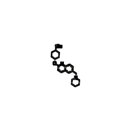 CC(C)(C)[C@H]1CC[C@H](Oc2ccc3cc(CN4CCCCC4)ccc3n2)CC1